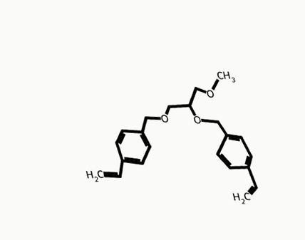 C=Cc1ccc(COCC(COC)OCc2ccc(C=C)cc2)cc1